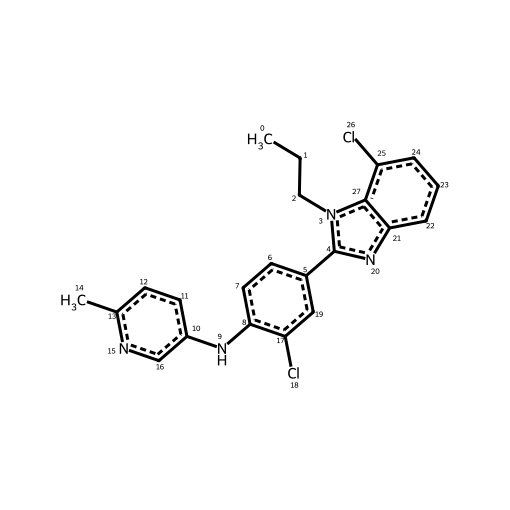 CCCn1c(-c2ccc(Nc3ccc(C)nc3)c(Cl)c2)nc2cccc(Cl)c21